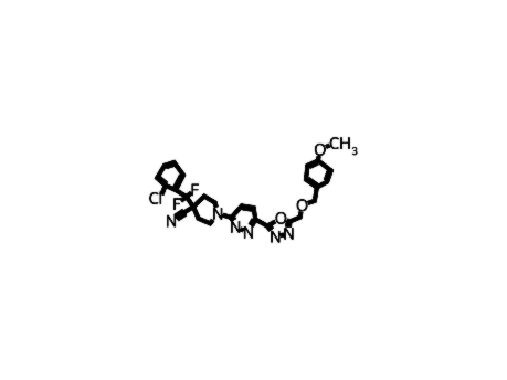 COc1ccc(COCc2nnc(-c3ccc(N4CCC(C#N)(C(F)(F)c5ccccc5Cl)CC4)nn3)o2)cc1